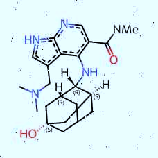 CNC(=O)c1cnc2[nH]cc(CN(C)C)c2c1N[C@H]1[C@@H]2CC3C[C@H]1C[C@@](O)(C3)C2